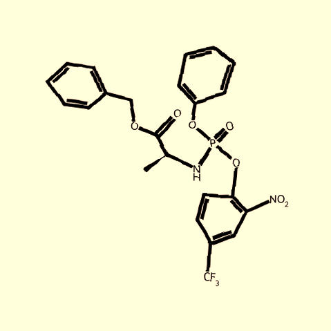 C[C@H](NP(=O)(Oc1ccccc1)Oc1ccc(C(F)(F)F)cc1[N+](=O)[O-])C(=O)OCc1ccccc1